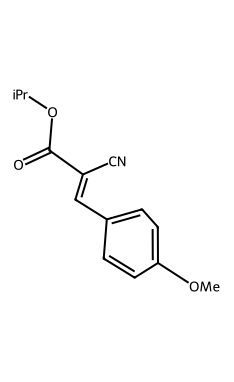 COc1ccc(/C=C(\C#N)C(=O)OC(C)C)cc1